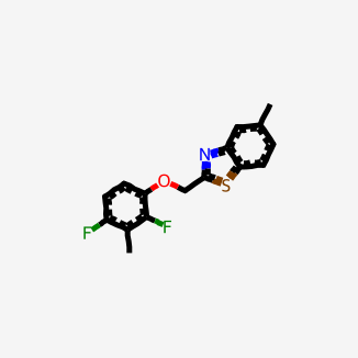 Cc1ccc2sc(COc3ccc(F)c(C)c3F)nc2c1